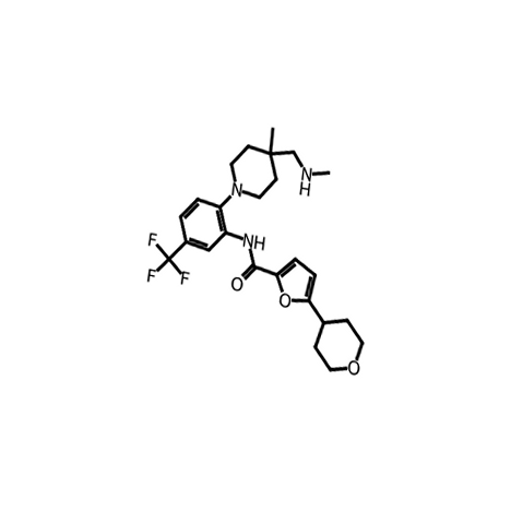 CNCC1(C)CCN(c2ccc(C(F)(F)F)cc2NC(=O)c2ccc(C3CCOCC3)o2)CC1